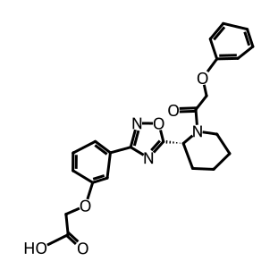 O=C(O)COc1cccc(-c2noc([C@H]3CCCCN3C(=O)COc3ccccc3)n2)c1